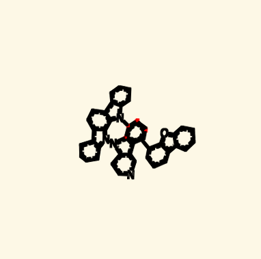 c1ccc2c(c1)oc1c(-c3ccc(-n4c5ccccc5c5ccc6c7ccccc7n(-n7c8ccccc8c8cnccc87)c6c54)cc3)cccc12